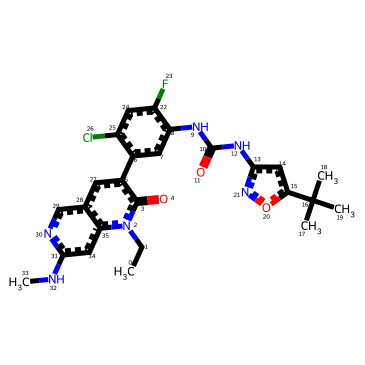 CCn1c(=O)c(-c2cc(NC(=O)Nc3cc(C(C)(C)C)on3)c(F)cc2Cl)cc2cnc(NC)cc21